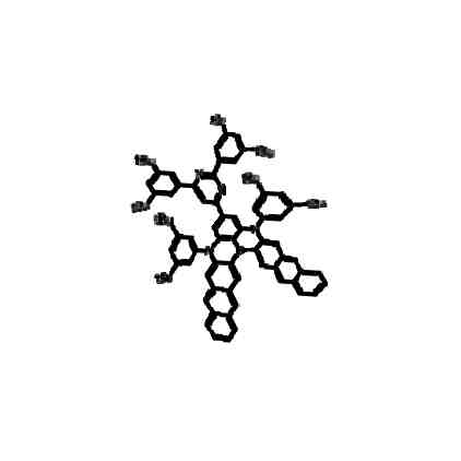 CC(C)(C)c1cc(-c2cc(-c3cc4c5c(c3)N(c3cc(C(C)(C)C)cc(C(C)(C)C)c3)c3cc6cc7ccccc7cc6cc3B5c3cc5cc6ccccc6cc5cc3N4c3cc(C(C)(C)C)cc(C(C)(C)C)c3)nc(-c3cc(C(C)(C)C)cc(C(C)(C)C)c3)n2)cc(C(C)(C)C)c1